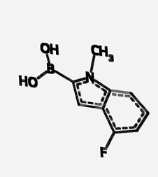 Cn1c(B(O)O)cc2c(F)cccc21